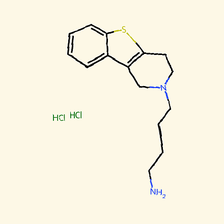 Cl.Cl.NCCCCN1CCc2sc3ccccc3c2C1